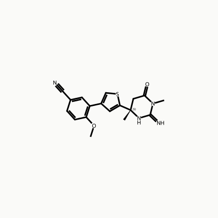 COc1ccc(C#N)cc1-c1csc([C@]2(C)CC(=O)N(C)C(=N)N2)c1